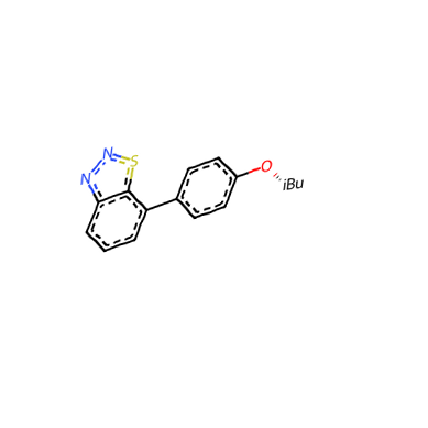 CC[C@@H](C)Oc1ccc(-c2cccc3nnsc23)cc1